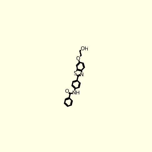 O=C(Nc1ccc(-c2nc3ccc(OCCO)cc3s2)cc1)c1ccccc1